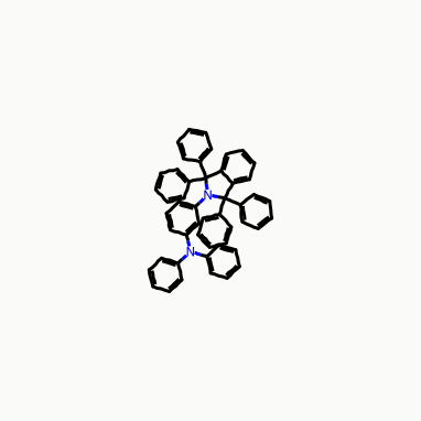 c1ccc(N(c2ccccc2)c2cccc(N3C(c4ccccc4)(c4ccccc4)c4ccccc4C3(c3ccccc3)c3ccccc3)c2)cc1